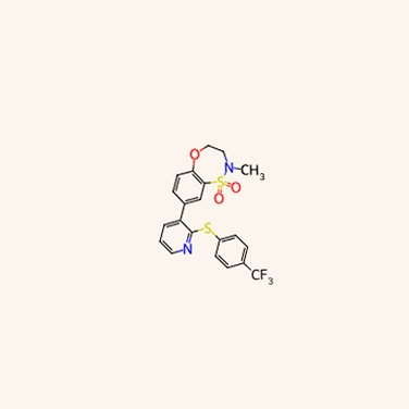 CN1CCOc2ccc(-c3cccnc3Sc3ccc(C(F)(F)F)cc3)cc2S1(=O)=O